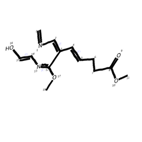 C=N/C=C(/C=C/CCC(=O)OC)C(=N/C=C/O)\OC